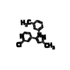 Cc1cccc(-n2nc(C)cc2-c2ccnc(Cl)c2)c1